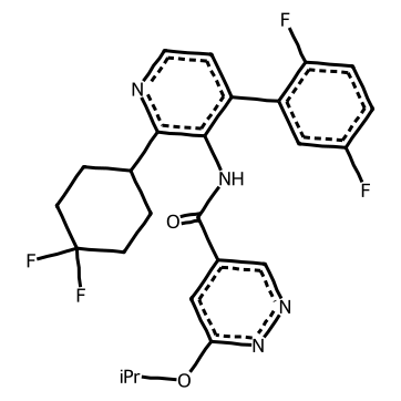 CC(C)Oc1cc(C(=O)Nc2c(-c3cc(F)ccc3F)ccnc2C2CCC(F)(F)CC2)cnn1